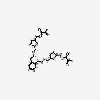 C=C(C)C(=O)OCC1CSC(CSCCc2ccccc2CCSCC2SCC(COC(=O)C(=C)C)S2)S1